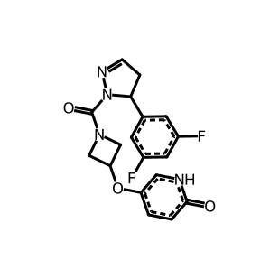 O=C(N1CC(Oc2ccc(=O)[nH]c2)C1)N1N=CCC1c1cc(F)cc(F)c1